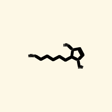 CCCCCCCCCCCCCCC1N(CCC)C=CN1CCC